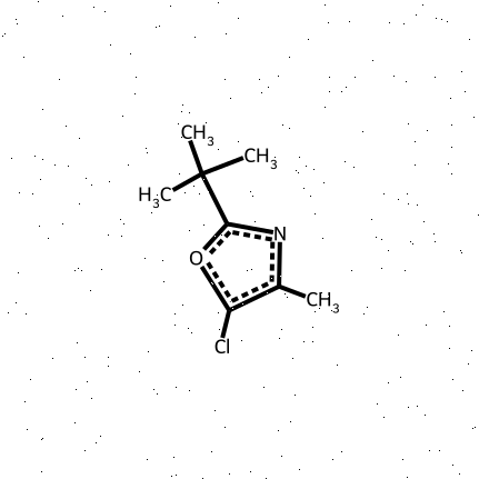 Cc1nc(C(C)(C)C)oc1Cl